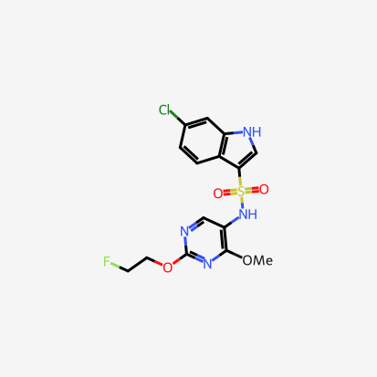 COc1nc(OCCF)ncc1NS(=O)(=O)c1c[nH]c2cc(Cl)ccc12